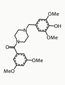 COc1cc(OC)cc(C(=O)N2CCN(Cc3cc(OC)c(O)c(OC)c3)CC2)c1